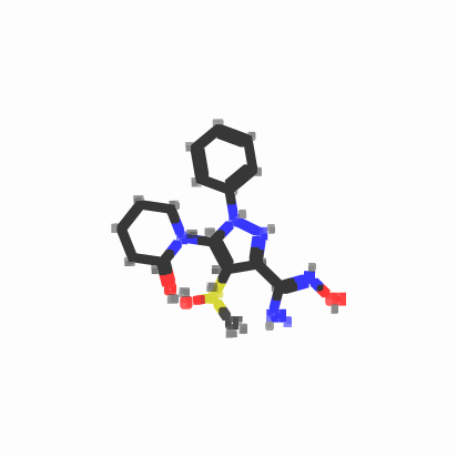 NC(=NO)c1nn(-c2ccccc2)c(N2CCCCC2=O)c1[S+]([O-])C(F)(F)F